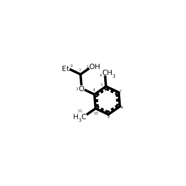 CCC(O)Oc1c(C)cccc1C